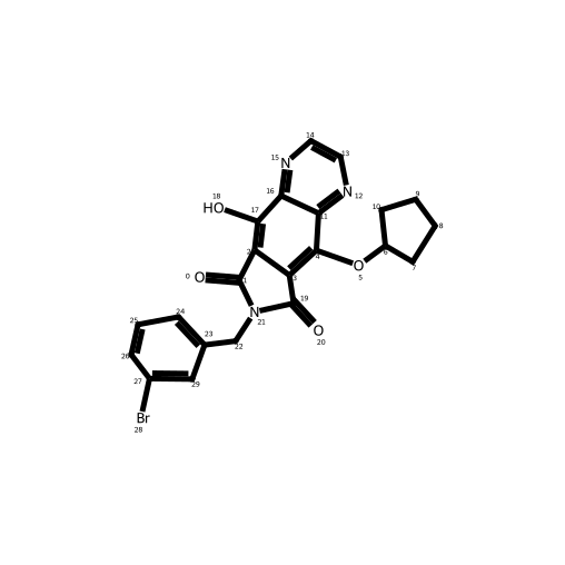 O=C1c2c(c(OC3CCCC3)c3nccnc3c2O)C(=O)N1Cc1cccc(Br)c1